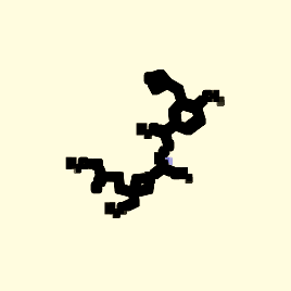 C=C(O/N=C(\C)N1CC(CC)(CCC(=O)OC)C1)c1ccc(C)c(CC2COC2)c1